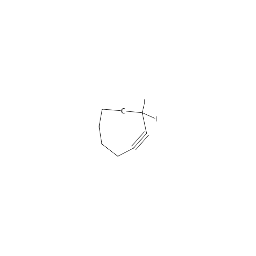 IC1(I)C#CCCCCC1